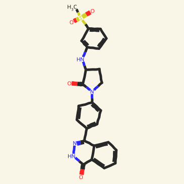 CS(=O)(=O)c1cccc(NC2CCN(c3ccc(-c4n[nH]c(=O)c5ccccc45)cc3)C2=O)c1